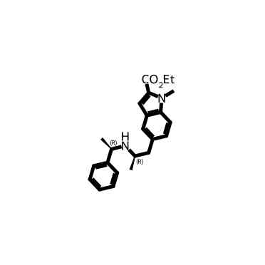 CCOC(=O)c1cc2cc(C[C@@H](C)N[C@H](C)c3ccccc3)ccc2n1C